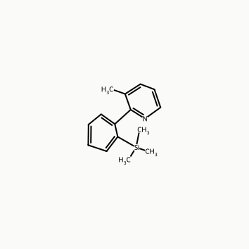 Cc1cccnc1-c1ccccc1[Si](C)(C)C